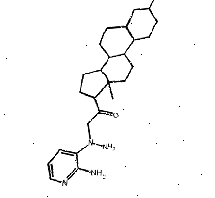 CC1CCC2C(CCC3C2CCC2(C)C(C(=O)CN(N)c4cccnc4N)CCC32)C1